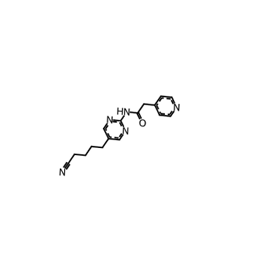 N#CCCCCc1cnc(NC(=O)Cc2ccncc2)nc1